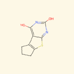 Oc1nc(O)c2c3c(sc2n1)CCC3